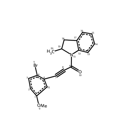 COc1ccc(Br)c(C#CC(=O)N2c3ccccc3CC2C)c1